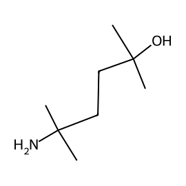 CC(C)(N)CCC(C)(C)O